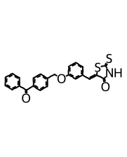 O=C1NC(=S)S/C1=C\c1cccc(OCc2ccc(C(=O)c3ccccc3)cc2)c1